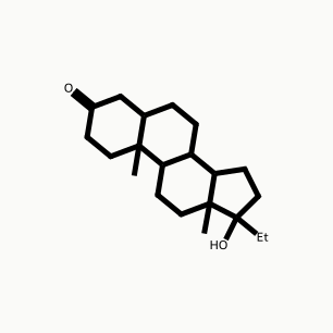 CCC1(O)CCC2C3CCC4CC(=O)CCC4(C)C3CCC21C